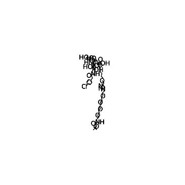 CC(C)(C)OC(=O)NCCOCCOCCOCCOCCn1cc(COCCCCCCO[C@]2(C(=O)O)C[C@H](O)[C@@H](NC(=O)CO)[C@H]([C@H](O)[C@H](O)CNC(=O)Cc3ccc(Cl)cc3)O2)nn1